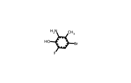 Cc1c(Br)cc(F)c(O)c1N